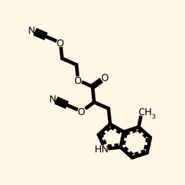 Cc1cccc2[nH]cc(CC(OC#N)C(=O)OCCOC#N)c12